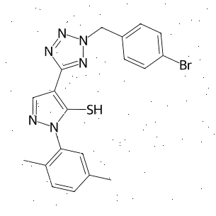 Cc1ccc(C)c(-n2ncc(-c3nnn(Cc4ccc(Br)cc4)n3)c2S)c1